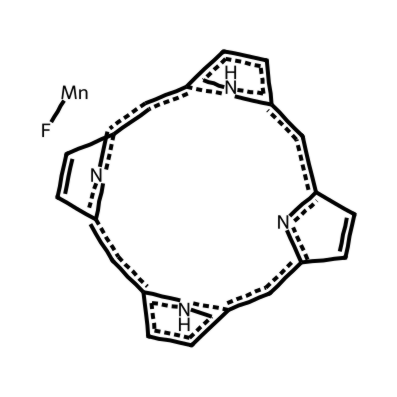 C1=Cc2cc3ccc(cc4nc(cc5ccc(cc1n2)[nH]5)C=C4)[nH]3.[F][Mn]